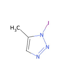 Cc1cnnn1I